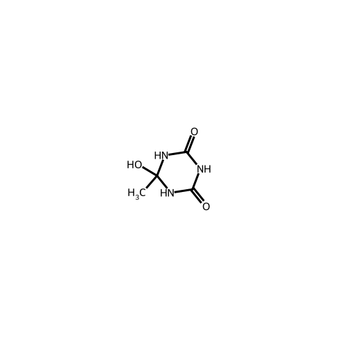 CC1(O)NC(=O)NC(=O)N1